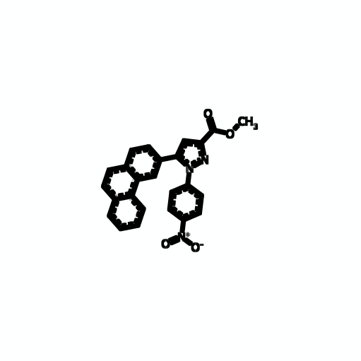 COC(=O)c1cc(-c2ccc3ccc4ccccc4c3c2)n(-c2ccc([N+](=O)[O-])cc2)n1